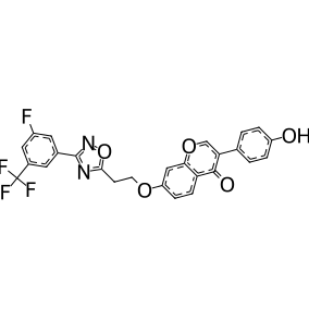 O=c1c(-c2ccc(O)cc2)coc2cc(OCCc3nc(-c4cc(F)cc(C(F)(F)F)c4)no3)ccc12